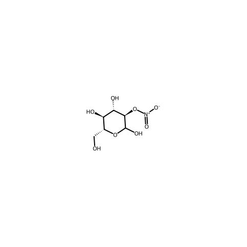 O=[N+]([O-])O[C@H]1C(O)O[C@H](CO)[C@@H](O)[C@@H]1O